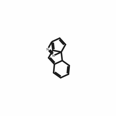 C1=CC2=CC3=C4C=CC3(N=N4)C2C=C1